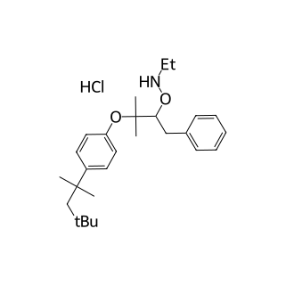 CCNOC(Cc1ccccc1)C(C)(C)Oc1ccc(C(C)(C)CC(C)(C)C)cc1.Cl